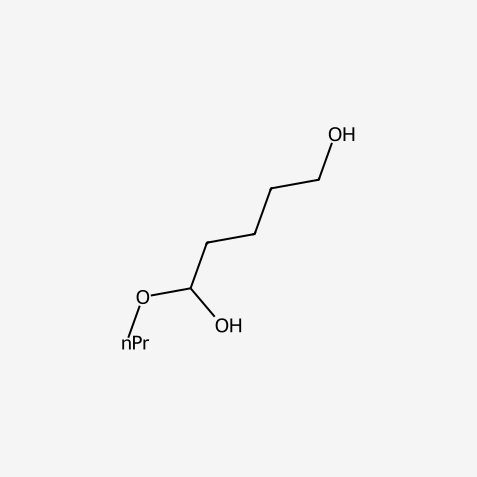 CCCOC(O)CCCCO